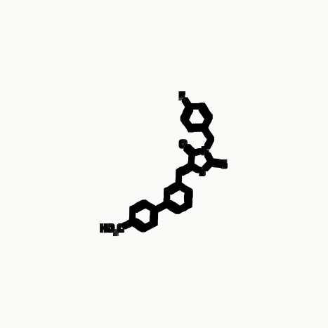 O=C(O)c1ccc(-c2cccc(/C=C3\SC(=S)N(Cc4ccc(F)cc4)C3=O)c2)cc1